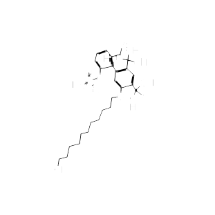 CCCCCCCCCCCCOc1cc(-c2c(CBr)cccc2OP(=O)(O)O)c(C(C)(C)C)cc1C(C)(C)C